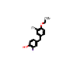 COCOc1ccc(Cc2ccc(O)c(I)c2)cc1C(C)C